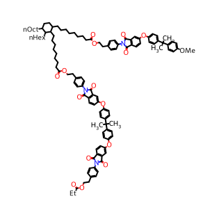 CCCCCCCCC1CCC(CCCCCCCCC(=O)OCCc2ccc(N3C(=O)c4ccc(Oc5ccc(C(C)(C)c6ccc(OC)cc6)cc5)cc4C3=O)cc2)C(CCCCCCCCC(=O)OCCc2ccc(N3C(=O)c4ccc(Oc5ccc(C(C)(C)c6ccc(Oc7ccc8c(c7)C(=O)N(c7ccc(CCOC(=O)CC)cc7)C8=O)cc6)cc5)cc4C3=O)cc2)C1CCCCCC